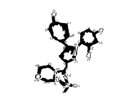 CS(=O)(=O)N=C(c1cc(-c2ccc(Cl)cc2)n(-c2ccc(Cl)cc2Cl)n1)N1CCOCC1